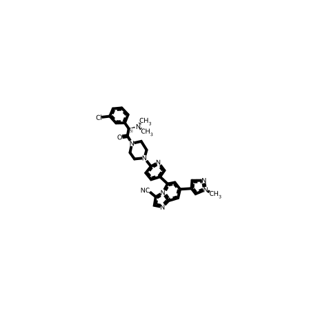 CN(C)[C@H](C(=O)N1CCN(c2ccc(-c3cc(-c4cnn(C)c4)cc4ncc(C#N)n34)cn2)CC1)c1cccc(Cl)c1